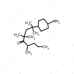 CCCC(C)C(=O)C(C)(C)CC(C)(C)C1CCC(N)CC1